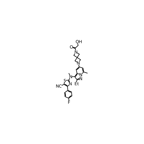 CCc1nn2c(C)cc(N3CC4(CN(C(=O)CO)C4)C3)cc2c1N(C)c1nc(-c2ccc(F)cc2)c(C#N)s1